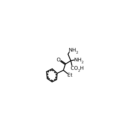 CCC(C(=O)C(N)(CN)C(=O)O)c1ccccc1